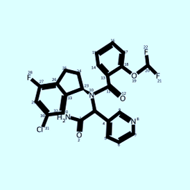 NC(=O)C(c1cccnc1)N(C(=O)c1ccccc1OC(F)F)[C@@H]1CCc2c(F)cc(Cl)cc21